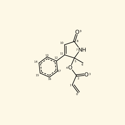 C=CC(=O)OC1(C)NC(=O)C=C1c1ccccc1